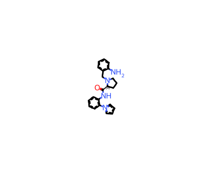 Nc1ccccc1CN1CCC[C@H]1C(=O)Nc1ccccc1-n1cccc1